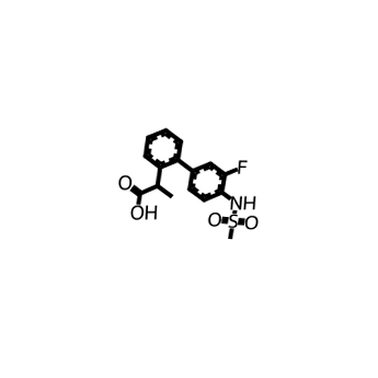 CC(C(=O)O)c1ccccc1-c1ccc(NS(C)(=O)=O)c(F)c1